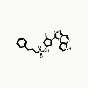 O=S(=O)(CCCc1ccccc1)N[C@H]1C[C@@H](I)[C@@H](c2nnc3cnc4[nH]ccc4n23)C1